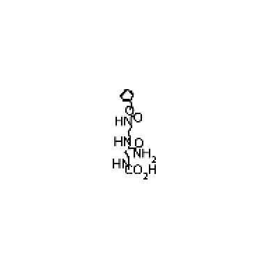 NC(=O)[C@H](CCNC(=O)O)NCCCNC(=O)OCc1ccccc1